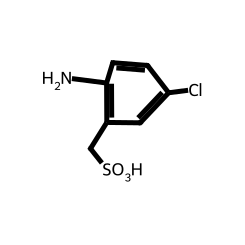 Nc1ccc(Cl)cc1CS(=O)(=O)O